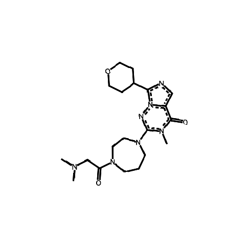 CN(C)CC(=O)N1CCCN(c2nn3c(C4CCOCC4)ncc3c(=O)n2C)CC1